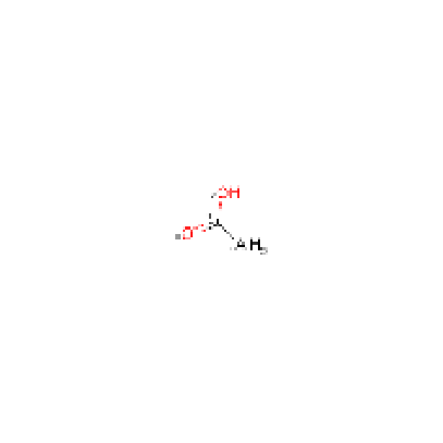 O=[C](O)[AlH2]